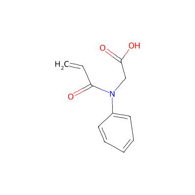 C=CC(=O)N(CC(=O)O)c1ccccc1